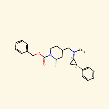 CN(CC1CCN(C(=O)OCc2ccccc2)C(F)C1)[C@@H]1C[C@H]1c1ccccc1